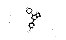 Nc1ccc(-c2nc(N3CCOCC3)c3ocnc3n2)cn1